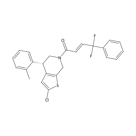 Cc1ccccc1[C@@H]1CN(C(=O)/C=C/C(F)(F)c2ccccc2)Cc2sc(Cl)cc21